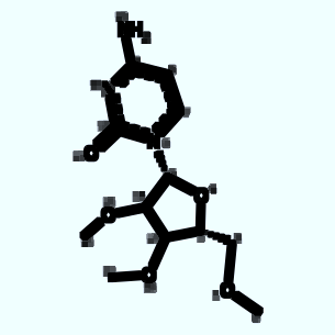 COC[C@H]1O[C@@H](n2ccc(N)nc2=O)C(OC)C1OC